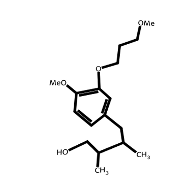 COCCCOc1cc(CC(C)C(C)CO)ccc1OC